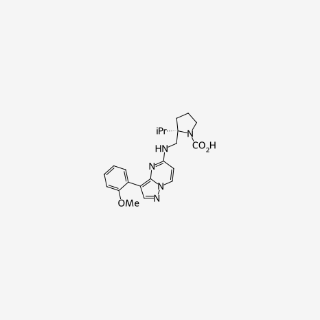 COc1ccccc1-c1cnn2ccc(NC[C@@]3(C(C)C)CCCN3C(=O)O)nc12